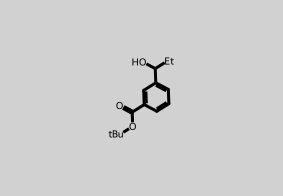 CCC(O)c1cccc(C(=O)OC(C)(C)C)c1